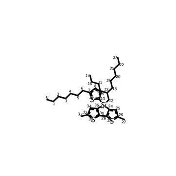 CCCCCCCc1ccc([Si]2(CC(CCCC)CCCCCC)c3cc(C)sc3-c3sc(C)cc32)s1